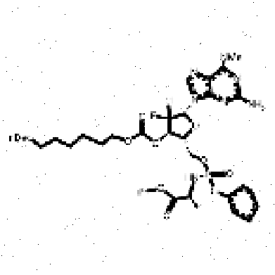 CCCCCCCCCCCCCCCCOC(=O)O[C@@H]1[C@@H](CO[P@](=O)(N[C@@H](C)C(=O)OC(C)C)Oc2ccccc2)O[C@@H](n2cnc3c(NC)nc(N)nc32)[C@@]1(F)Cl